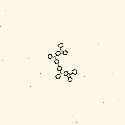 c1ccc2c3cc(N(c4ccccc4)c4ccc(-c5ccc(N(c6ccccc6)c6ccc7c(c6)c6ccccc6n7-c6ccccc6)cc5)cc4)ccc3n(C3=CCCC=C3)c2c#1